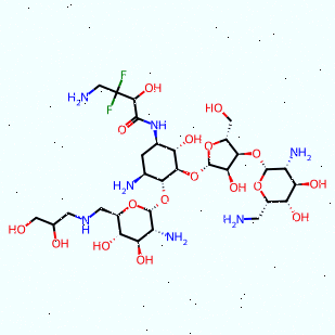 NC[C@@H]1O[C@H](O[C@H]2[C@@H](O)[C@H](O[C@@H]3[C@@H](O)[C@H](NC(=O)C(O)C(F)(F)CN)C[C@H](N)[C@H]3O[C@H]3O[C@H](CNCC(O)CO)[C@@H](O)[C@H](O)[C@H]3N)O[C@@H]2CO)[C@H](N)[C@@H](O)[C@@H]1O